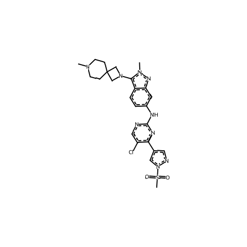 CN1CCC2(CC1)CN(c1c3ccc(Nc4ncc(Cl)c(-c5cnn(S(C)(=O)=O)c5)n4)cc3nn1C)C2